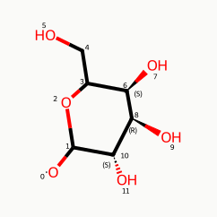 [O]C1OC(CO)[C@@H](O)[C@@H](O)[C@@H]1O